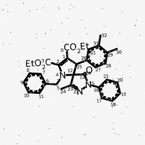 CCOC(=O)C1=C(C(=O)OCC)N(Cc2ccccc2)C2(C(=O)N(c3ccccc3)N=C2C)C1c1ccc(C)c(C)c1